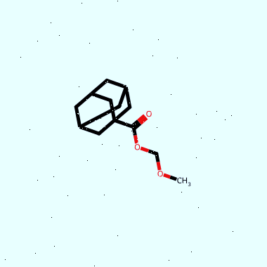 COCOC(=O)C12CC3CC(CC(C3)C1)C2